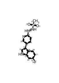 CS(=O)(=O)NNc1ccc(-c2c[nH]c3cc(F)ccc23)cn1